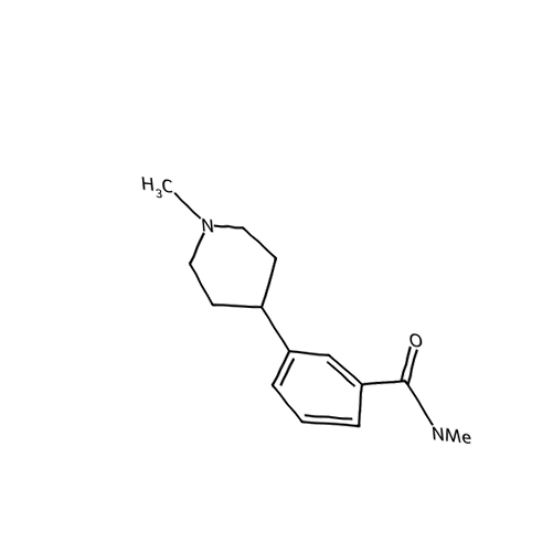 CNC(=O)c1cccc(C2CCN(C)CC2)c1